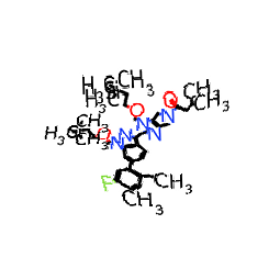 CCc1cc(C)c(F)cc1-c1ccc2c(-c3nc4c(n3COCC[Si](C)(C)C)CN(C(=O)CC(C)C)C4)nn(COCC[Si](C)(C)C)c2c1